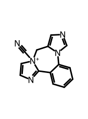 N#C[N+]12C=CN=C1c1ccccc1-n1cncc1C2